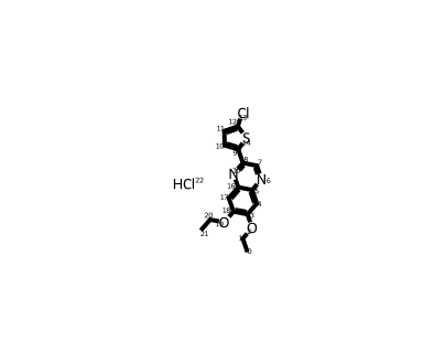 CCOc1cc2ncc(-c3ccc(Cl)s3)nc2cc1OCC.Cl